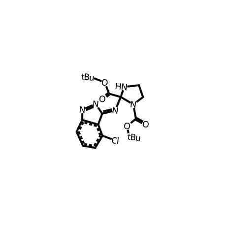 CC(C)(C)OC(=O)N1CCNC1(N=C1N=Nc2cccc(Cl)c21)C(=O)OC(C)(C)C